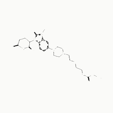 Cn1c(=O)n(C2CCC(=O)NC2=O)c2ccc(N3CCN(CCOCCNC(=O)OC(C)(C)C)CC3)cc21